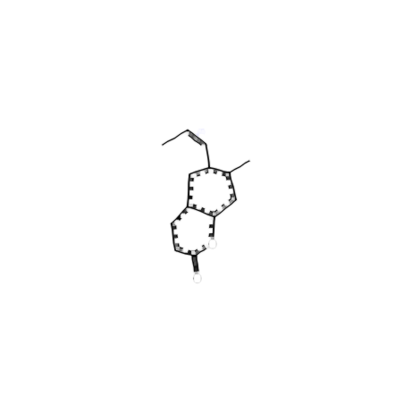 C/C=C\c1cc2ccc(=O)oc2cc1C